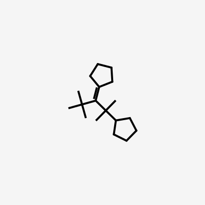 CC(C)(C)C(=C1CCCC1)C(C)(C)C1CCCC1